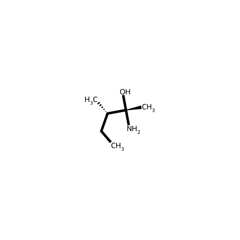 CC[C@H](C)[C@@](C)(N)O